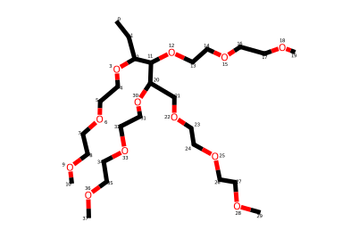 CCC(OCCOCCOC)C(OCCOCCOC)C(COCCOCCOC)OCCOCCOC